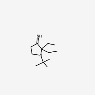 CCC1(CC)C(=N)CCN1C(C)(C)C